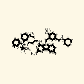 CCC[C@@H](CCO[Si](c1ccccc1)(c1ccccc1)C(C)(C)C)Nc1nc(N)nc2c3cc(F)ccc3n(Cc3cc(CNC4CCOCC4)ccc3OC)c12